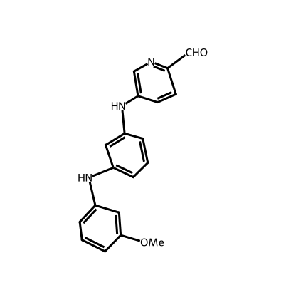 COc1cccc(Nc2cccc(Nc3ccc(C=O)nc3)c2)c1